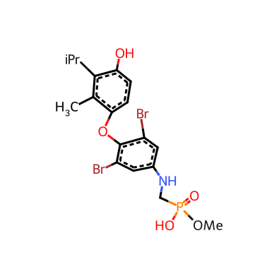 COP(=O)(O)CNc1cc(Br)c(Oc2ccc(O)c(C(C)C)c2C)c(Br)c1